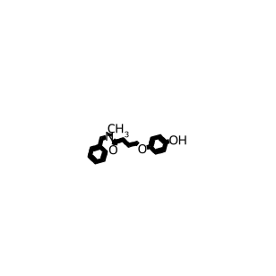 CN(Cc1ccccc1)C(=O)CCCOc1ccc(O)cc1